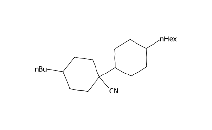 CCCCCCC1CCC(C2(C#N)CCC(CCCC)CC2)CC1